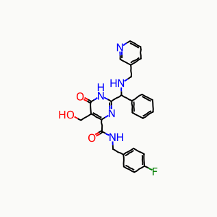 O=C(NCc1ccc(F)cc1)c1nc(C(NCc2cccnc2)c2ccccc2)[nH]c(=O)c1CO